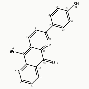 C=C(/C=C\C1=C(C(C)C)c2ncccc2C(=O)C1=O)c1ccc(S)cc1